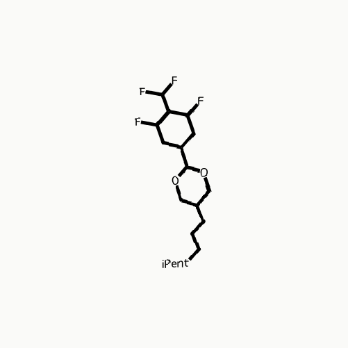 CCCC(C)CCCC1COC(C2CC(F)C(C(F)F)C(F)C2)OC1